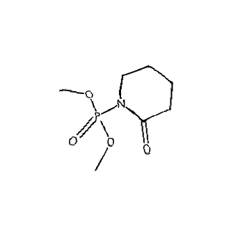 COP(=O)(OC)N1CCCCC1=O